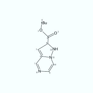 CC(C)(C)OC(=O)C1C=C2C=NC=CN2N1